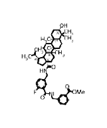 C=C(C)[C@@H]1CC[C@]2(C(=O)NCc3ccc(F)c(C(=O)NCc4cccc(C(=O)OC)c4)c3)CC[C@]3(C)C(CCC4[C@@]5(C)CC[C@H](O)C(C)(C)C5CC[C@]43C)C12